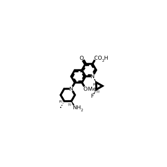 COc1c(N2CC[C@@H](C)[C@H](N)C2)ccc2c(=O)c(C(=O)O)cn([C@@H]3C[C@@H]3F)c12